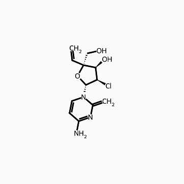 C=C[C@]1(CO)O[C@@H](N2C=CC(N)=NC2=C)[C@H](Cl)[C@@H]1O